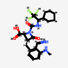 CNc1cccc(C[C@H]2C(=O)N(C(=O)NC(C3CCCCC3)C(F)(F)F)C2C(=O)O)c1C=N